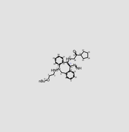 CCCCOCCNN1Cc2ccccc2/C(N=N)=C(/NCC(=O)C2CCCC2)c2ccccc21